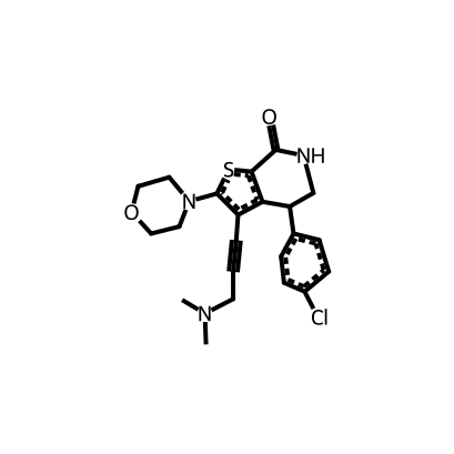 CN(C)CC#Cc1c(N2CCOCC2)sc2c1C(c1ccc(Cl)cc1)CNC2=O